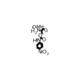 COC(=O)[C@@H](N)COC(=O)Nc1ccc([N+](=O)[O-])cc1